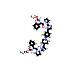 COC(=O)N[C@@H](C(=O)N1CCC[C@H]1c1ncc(-c2cc(F)c(N3CCC(c4cnc([C@@H]5CCCN5C(=O)[C@H](NC(=O)OC)c5ccccc5)[nH]4)CC3)c(F)c2)[nH]1)c1ccccc1